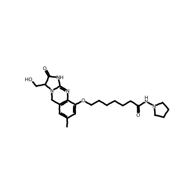 Cc1cc2c(c(OCCCCCCC(=O)NN3CCCC3)c1)N=C1NC(=O)C(CO)N1C2